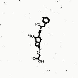 O=C(O)CON=C1CC2C1CC(C#CC(O)Cc1ccccc1)C2O